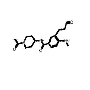 CNc1ccc(C(=O)NC2CCN(C(C)=O)CC2)cc1CCC=O